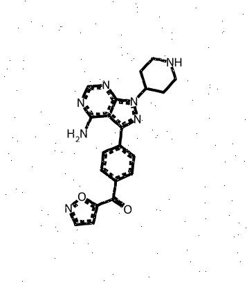 Nc1ncnc2c1c(-c1ccc(C(=O)c3ccno3)cc1)nn2C1CCNCC1